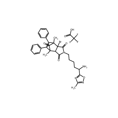 Cc1noc(C(N)CCCCN2C(=O)C3C4(C)C(=O)C(C)(C(c5ccccc5)=C4c4ccccc4)C3(Br)C2=O)n1.O=C(O)C(F)(F)F